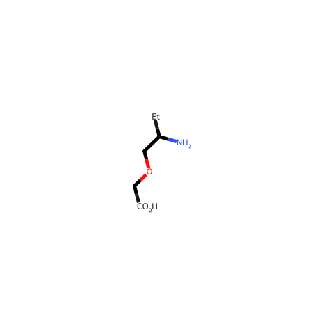 CCC(N)COCC(=O)O